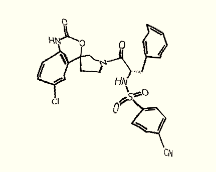 N#Cc1ccc(S(=O)(=O)N[C@@H](Cc2ccccc2)C(=O)N2CCC3(C2)OC(=O)Nc2ccc(Cl)cc23)cc1